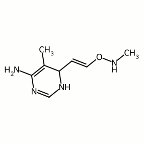 CNO/C=C/C1NC=NC(N)=C1C